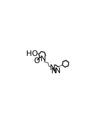 O=c1c(O)cccn1CCCn1cc(-c2ccccc2)nn1